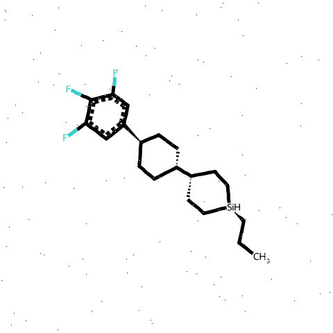 CCC[Si@H]1CC[C@H]([C@H]2CC[C@H](c3cc(F)c(F)c(F)c3)CC2)CC1